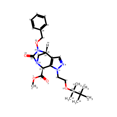 COC(=O)[C@@H]1c2c(cnn2CCO[Si](C)(C)C(C)(C)C)[C@@H]2CN1C(=O)N2OCc1ccccc1